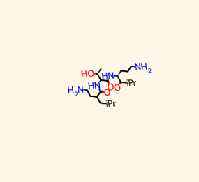 CC(C)CC(CCN)C(=O)N[C@H](C(=O)N[C@@H](CCCN)C(=O)C(C)C)[C@H](C)O